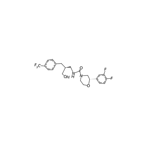 O=C(NC[C@@H](CO)Cc1ccc(C(F)(F)F)cc1)N1CCO[C@@H](c2ccc(F)c(F)c2)C1